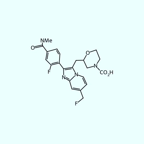 CNC(=O)c1ccc(-c2nc3cc(CF)ccn3c2CC2CN(C(=O)O)CCO2)c(F)c1